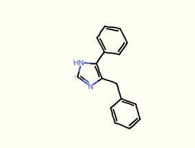 [c]1nc(Cc2ccccc2)c(-c2ccccc2)[nH]1